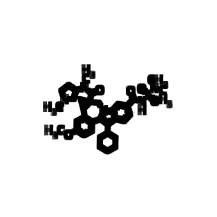 COc1ccc2c(c1)C1CC1(C(=O)N(C)C1CCN(C)C1)Cn1c-2c(C2CCCCC2)c2ccc(C(=O)NS(=O)(=O)N(C)C)cc21